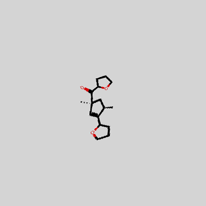 C[C@@H]1C[C@](C)(C(=O)C2CCCO2)C=C1C1CCCO1